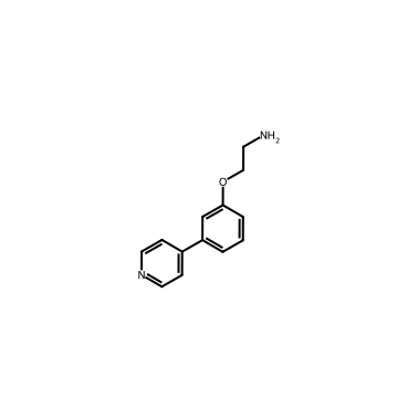 NCCOc1cccc(-c2ccncc2)c1